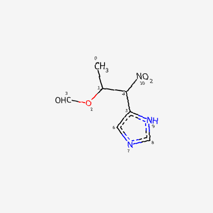 CC(OC=O)C(c1cnc[nH]1)[N+](=O)[O-]